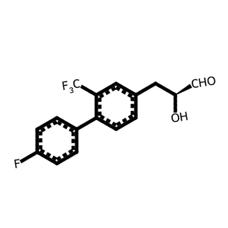 O=C[C@@H](O)Cc1ccc(-c2ccc(F)cc2)c(C(F)(F)F)c1